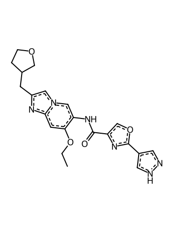 CCOc1cc2nc(CC3CCOC3)cn2cc1NC(=O)c1coc(-c2cn[nH]c2)n1